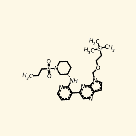 CCCS(=O)(=O)N1CCC[C@H](Nc2ncccc2-c2cnc3ccn(COCC[Si](C)(C)C)c3n2)C1